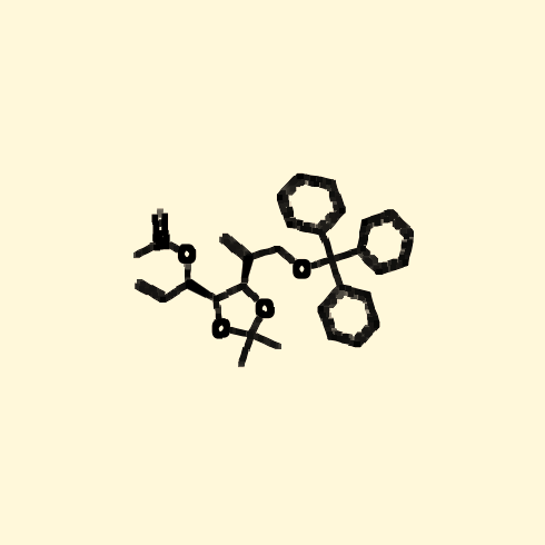 C=CC(O[SiH](C)C)[C@@H]1OC(C)(C)O[C@@H]1C(=C)COC(c1ccccc1)(c1ccccc1)c1ccccc1